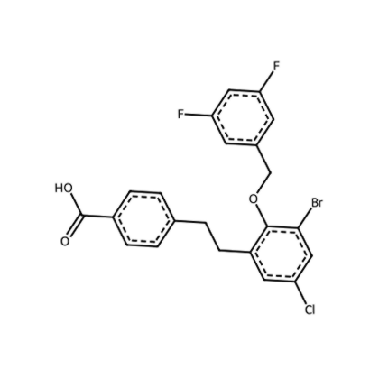 O=C(O)c1ccc(CCc2cc(Cl)cc(Br)c2OCc2cc(F)cc(F)c2)cc1